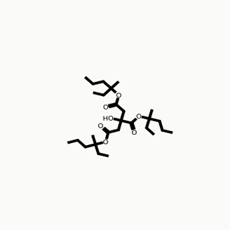 CCCC(C)(CC)OC(=O)CC(O)(CC(=O)OC(C)(CC)CCC)C(=O)OC(C)(CC)CCC